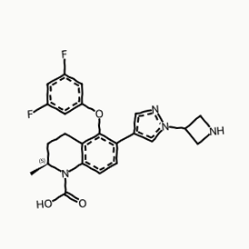 C[C@H]1CCc2c(ccc(-c3cnn(C4CNC4)c3)c2Oc2cc(F)cc(F)c2)N1C(=O)O